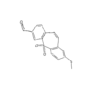 CSc1ccc2c(c1)C=Cc1ccc(C=O)cc1S2(=O)=O